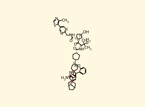 Cc1ncsc1-c1cnc(CNC(=O)[C@@H]2C[C@@H](O)CN2C(=O)[C@@H](NC(=O)[C@H]2CC[C@H](N3CCC(c4ccc(N5C6CCC5CN(c5cc(-c7ccccc7O)nnc5N)C6)cc4)CC3)CC2)C(C)(C)C)nc1